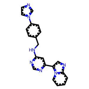 c1ccn2c(-c3cc(NCc4ccc(-n5ccnc5)cc4)ncn3)cnc2c1